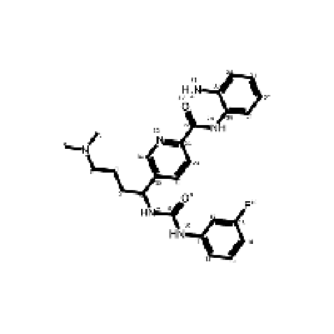 CN(C)CCCC(NC(=O)Nc1cccc(F)c1)c1ccc(C(=O)Nc2ccccc2N)nc1